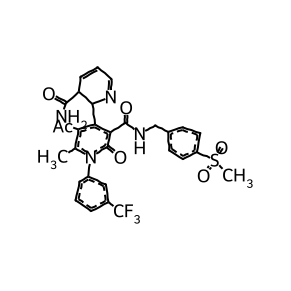 CC(=O)c1c(C2N=CC=CC2C(N)=O)c(C(=O)NCc2ccc(S(C)(=O)=O)cc2)c(=O)n(-c2cccc(C(F)(F)F)c2)c1C